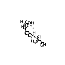 C/C(Cc1cncnc1)=C(/Cl)CNc1cc2cc(-c3cnn(CC(C)(C)O)c3)ccc2cn1